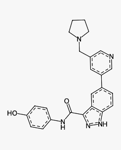 O=C(Nc1ccc(O)cc1)c1n[nH]c2ccc(-c3cncc(CN4CCCC4)c3)cc12